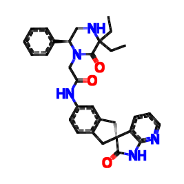 CCC1(CC)NC[C@H](c2ccccc2)N(CC(=O)Nc2ccc3c(c2)C[C@@]2(C3)C(=O)Nc3ncccc32)C1=O